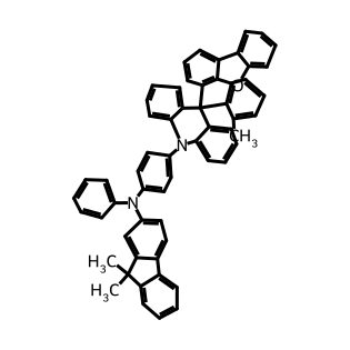 Cc1ccccc1C1(c2cccc3c2oc2ccccc23)c2ccccc2N(c2ccc(N(c3ccccc3)c3ccc4c(c3)C(C)(C)c3ccccc3-4)cc2)c2ccccc21